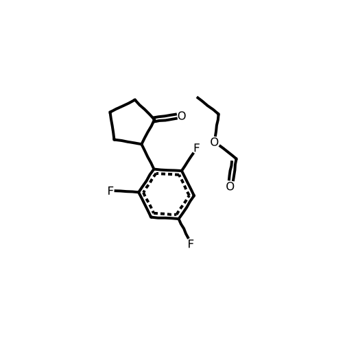 CCOC=O.O=C1CCCC1c1c(F)cc(F)cc1F